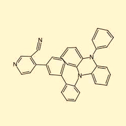 N#Cc1cnccc1-c1cccc(-c2ccccc2N2c3ccccc3N(c3ccccc3)c3ccccc32)c1